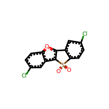 O=S1(=O)c2ccc(Cl)cc2-c2oc3ccc(Cl)cc3c21